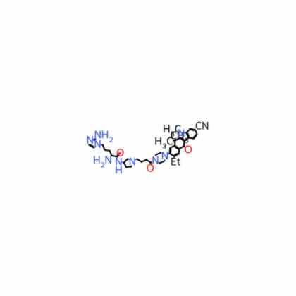 CCc1cc2c(cc1N1CCN(C(=O)CCCN3CC[C@@H](NC(=O)[C@@H](N)CCCn4ccnc4N)C3)CC1)C(C)(C)c1c(c3ccc(C#N)cc3n1C)C2=O